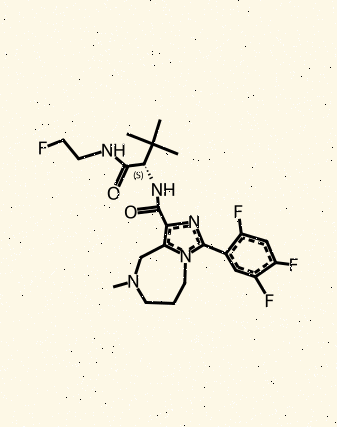 CN1CCCn2c(-c3cc(F)c(F)cc3F)nc(C(=O)N[C@H](C(=O)NCCF)C(C)(C)C)c2C1